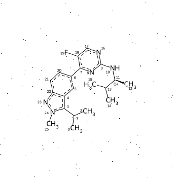 CC(C)c1c2cc(-c3nc(N[C@@H](C)C(C)C)ncc3F)ccc2nn1C